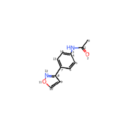 CC(=O)Nc1ccc(-c2c[c]on2)cc1